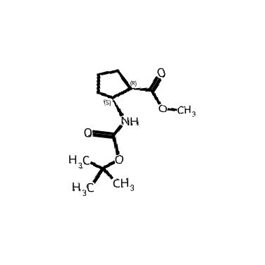 COC(=O)[C@@H]1CCC[C@@H]1NC(=O)OC(C)(C)C